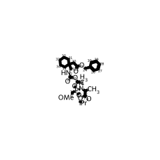 COCP(=O)(NC(C)C(=O)OC(C)C)OC(C)OC(=O)NCC1(CC(=O)OCc2ccccc2)CCCCC1